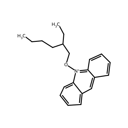 CCCCC(CC)CO[n+]1c2ccccc2cc2ccccc21